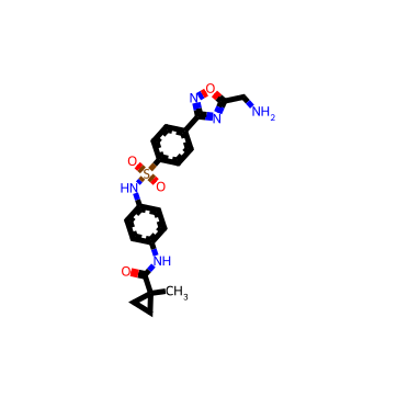 CC1(C(=O)Nc2ccc(NS(=O)(=O)c3ccc(-c4noc(CN)n4)cc3)cc2)CC1